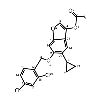 CC(=O)Oc1coc2cc(OCc3ccc(Cl)cc3Cl)c(C3CC3)cc12